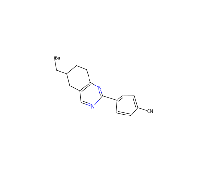 CCC(C)CC1CCc2nc(-c3ccc(C#N)cc3)ncc2C1